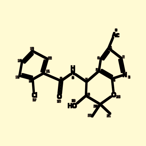 CC(=O)c1cnc2c(c1)C(NC(=O)c1ccccc1Cl)C(O)C(C)(C)O2